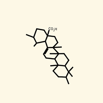 CC1CCC2(C(=O)O)CCC3(C)C(=CCC4C5(C)CCC(C)C(C)(C)C5CCC43C)C2C1C